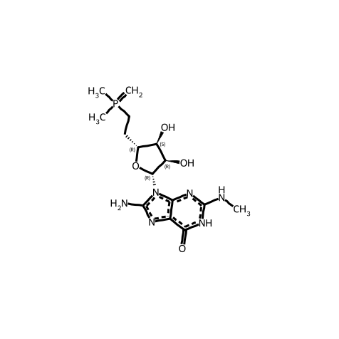 C=P(C)(C)CC[C@H]1O[C@@H](n2c(N)nc3c(=O)[nH]c(NC)nc32)[C@H](O)[C@@H]1O